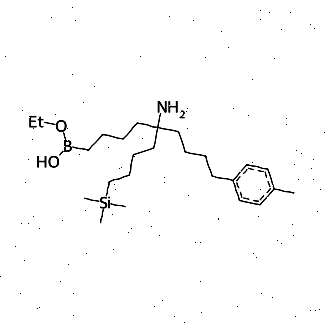 CCOB(O)CCCCC(N)(CCCCc1ccc(C)cc1)CCCC[Si](C)(C)C